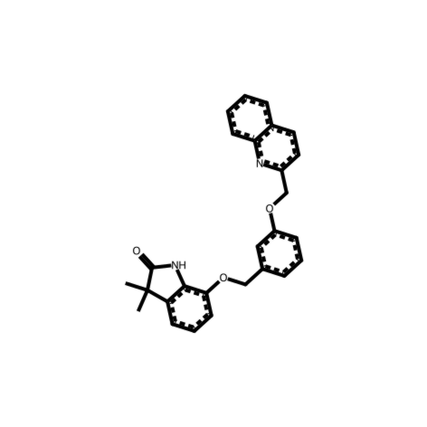 CC1(C)C(=O)Nc2c(OCc3cccc(OCc4ccc5ccccc5n4)c3)cccc21